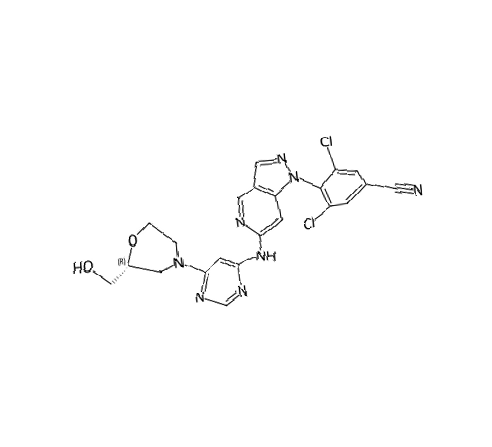 N#Cc1cc(Cl)c(-n2ncc3cnc(Nc4cc(N5CCO[C@@H](CO)C5)ncn4)cc32)c(Cl)c1